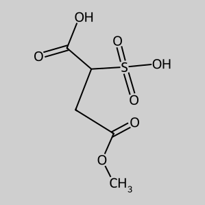 COC(=O)CC(C(=O)O)S(=O)(=O)O